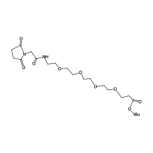 CC(C)(C)OC(=O)CCOCCOCCOCCOCCNC(=O)CN1C(=O)CCC1=O